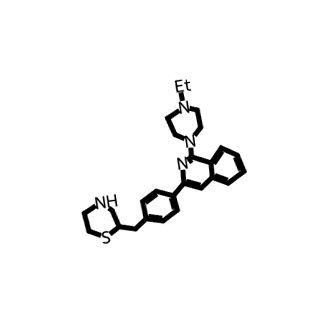 CCN1CCN(c2nc(-c3ccc(CC4CNCCS4)cc3)cc3ccccc23)CC1